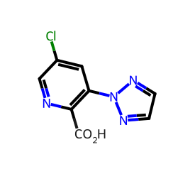 O=C(O)c1ncc(Cl)cc1-n1nccn1